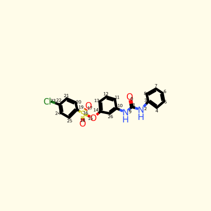 O=C(Nc1ccccc1)Nc1cccc(OS(=O)(=O)c2ccc(Cl)cc2)c1